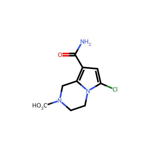 NC(=O)c1cc(Cl)n2c1CN(C(=O)O)CC2